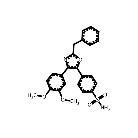 COc1ccc(-c2nc(Cc3ccccc3)oc2-c2ccc(S(N)(=O)=O)cc2)cc1OC